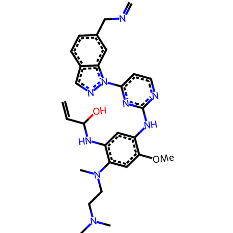 C=CC(O)Nc1cc(Nc2nccc(-n3ncc4ccc(CN=C)cc43)n2)c(OC)cc1N(C)CCN(C)C